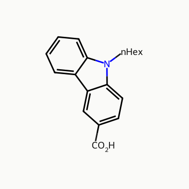 CCCCCCn1c2ccccc2c2cc(C(=O)O)ccc21